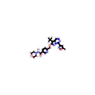 Cc1cc(-c2nncc3c(C(C)(C)C)c(OCc4ccc(C(=O)NN5CCOCC5)cn4)nn23)no1